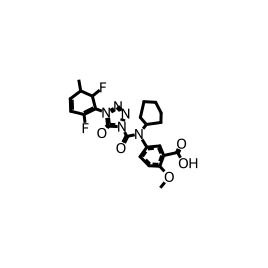 COc1ccc(N(C(=O)n2nnn(C3=C(F)C=CC(C)C3F)c2=O)C2CCCCC2)cc1C(=O)O